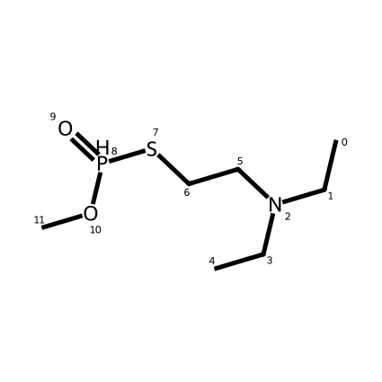 CCN(CC)CCS[PH](=O)OC